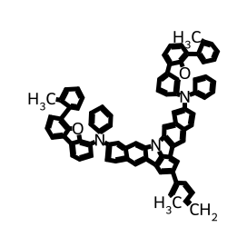 C=C/C=C\C(=C/C)c1cc2c3cc4ccc(N(c5ccccc5)c5cccc6c5oc5c(-c7ccccc7C)cccc56)cc4cc3n3c4cc5cc(N(c6ccccc6)c6cccc7c6oc6c(-c8ccccc8C)cccc67)ccc5cc4c(c1)c23